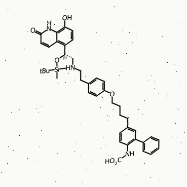 CC(C)(C)[Si](C)(C)O[C@@H](CNCCc1ccc(OCCCCc2ccc(NC(=O)O)c(-c3ccccc3)c2)cc1)c1ccc(O)c2[nH]c(=O)ccc12